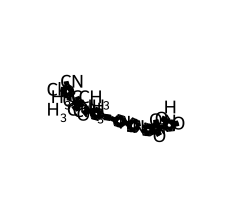 CC1(C)[C@H](NC(=O)c2ccc(C#CC3CCN(C4CCN(c5ccc6c(c5)C(=O)N(C5CCC(=O)NC5=O)C6=O)CC4)CC3)cn2)C(C)(C)[C@H]1Oc1ccc(C#N)c(Cl)c1